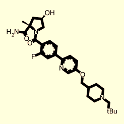 CC(C)(C)CN1CCC(COc2ccc(-c3ccc(C(=O)N4C[C@H](O)C[C@@]4(C)C(N)=O)c(F)c3)nc2)CC1